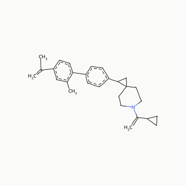 C=C(C)c1ccc(-c2ccc(C3CC34CCN(C(=C)C3CC3)CC4)cc2)c(C)c1